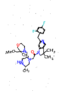 COC[C@]1(C)COCCN1C[C@H]1CN[C@H](C)CN1CC(=O)N1CC(C)(C)c2cnc(Cc3ccc(F)cc3F)cc21